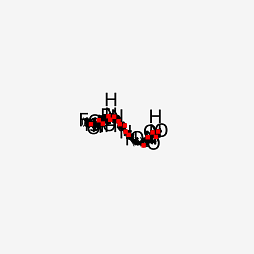 O=C1CC[C@@H](N2Cc3cc(C[C@H](O)CN4CC5(C4)CN(c4ccc(-c6cnc7[nH]cc(C(=O)c8c(F)ccc(NS(=O)(=O)N9CC[C@@H](F)C9)c8F)c7c6)cc4)C5)ccc3C2=O)C(=O)N1